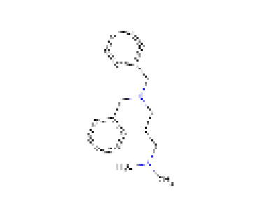 CN(C)CCCN(Cc1ccccc1)Cc1ccccc1